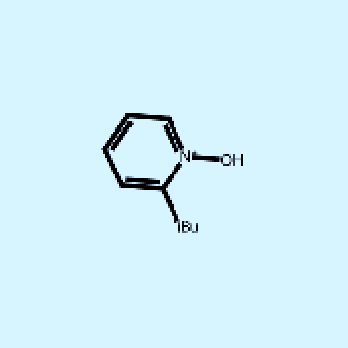 CCC(C)c1cccc[n+]1O